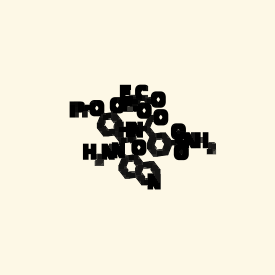 CCOc1cc(C(C(=O)NC(C(=O)OC(=O)C(F)(F)F)c2cccc(S(N)(=O)=O)c2)N(N)c2ccc3cnccc3c2)ccc1OC(C)C